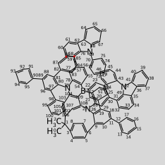 CC1(C)c2ccc(cc2)-c2cc(-c3ccccc3)cc(-c3ccccc3)c2N2c3cc(-c4cccc5c6ccccc6n(-c6ccccc6)c45)ccc3B3c4ccc(-c5cccc6c7ccccc7n(-c7ccccc7)c56)cc4N(c4c(-c5ccccc5)cc(-c5ccccc5)cc4-c4ccccc4)c4cc1cc2c43